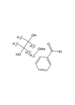 CC(C)(O)C(C)(C)O.CCC(=O)c1ccccc1.COC